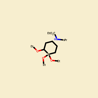 CCCNC(=O)OCC.CCOC1CCCC[Si]1(OCC)OCC